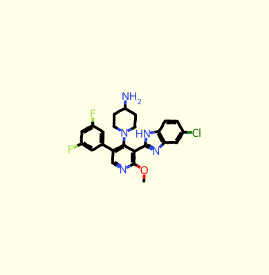 COc1ncc(-c2cc(F)cc(F)c2)c(N2CCC(N)CC2)c1-c1nc2cc(Cl)ccc2[nH]1